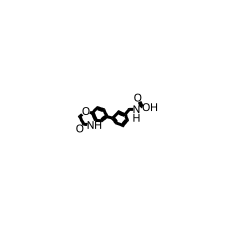 O=C(O)NCc1cccc(-c2ccc3c(c2)NC(=O)CO3)c1